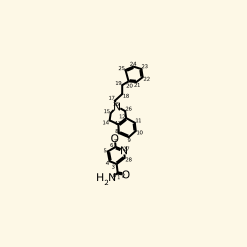 NC(=O)c1ccc(Oc2cccc3c2CCN(CCCc2ccccc2)C3)nc1